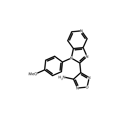 COc1ccc(-n2c(-c3nonc3N)nc3cnccc32)cc1